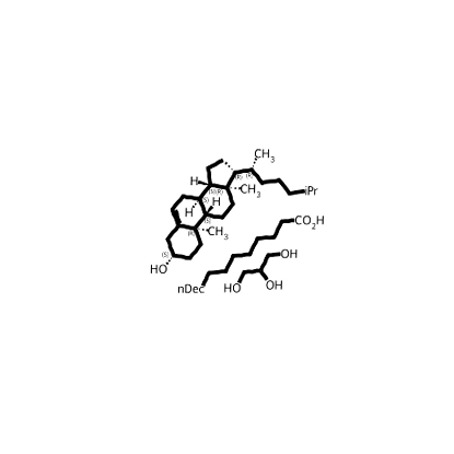 CC(C)CCC[C@@H](C)[C@H]1CC[C@H]2[C@@H]3CC=C4C[C@@H](O)CC[C@]4(C)[C@H]3CC[C@]12C.CCCCCCCCCCCCCCCCCC(=O)O.OCC(O)CO